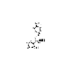 CN1CCN(CCC(=O)c2ccccc2Cl)CC1.Cl.Cl